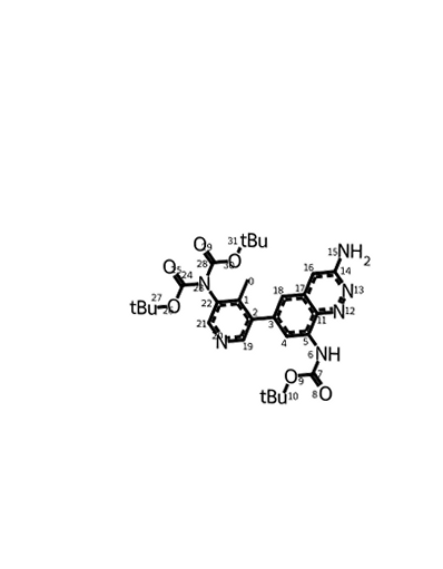 Cc1c(-c2cc(NC(=O)OC(C)(C)C)c3nnc(N)cc3c2)cncc1N(C(=O)OC(C)(C)C)C(=O)OC(C)(C)C